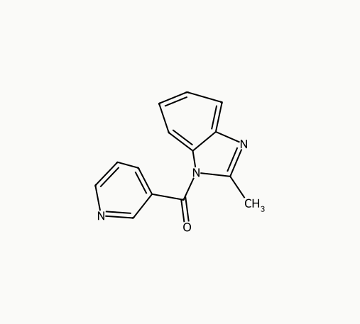 Cc1nc2ccccc2n1C(=O)c1cccnc1